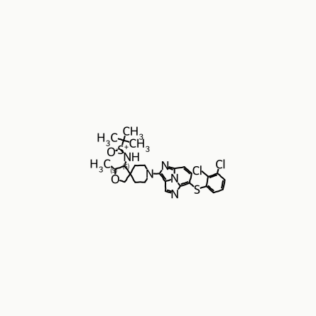 C[C@@H]1OCC2(CCN(c3nc4ccc(Sc5cccc(Cl)c5Cl)c5ncc3n45)CC2)[C@@H]1N[S+]([O-])C(C)(C)C